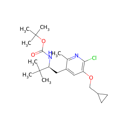 Cc1nc(Cl)c(OCC2CC2)cc1C[C@H](NC(=O)OC(C)(C)C)C(C)(C)C